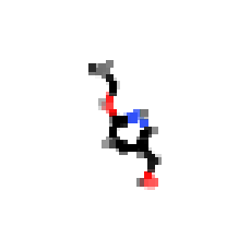 OCc1ccc(OCC(F)(F)F)nc1